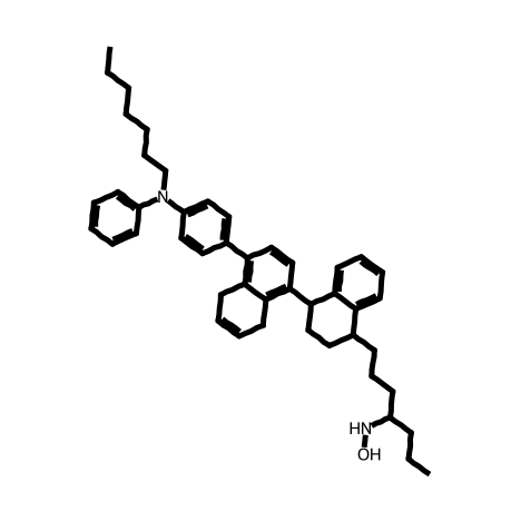 CCCCCCCN(c1ccccc1)c1ccc(-c2ccc(C3CCC(CCCC(CCC)NO)c4ccccc43)c3c2CC=CC3)cc1